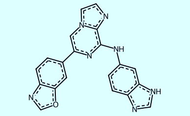 c1cn2cc(-c3ccc4ncoc4c3)nc(Nc3ccc4nc[nH]c4c3)c2n1